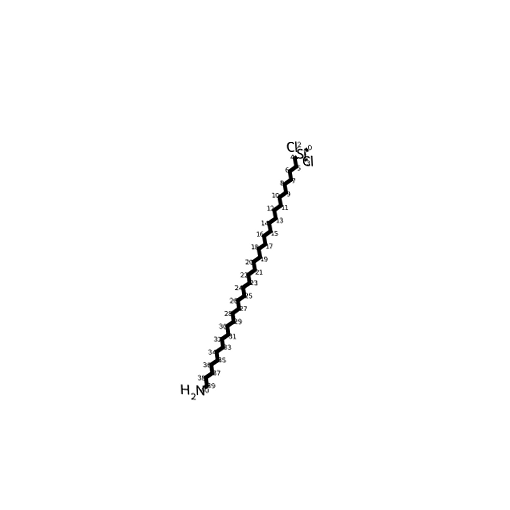 C[Si](Cl)(Cl)CCCCCCCCCCCCCCCCCCCCCCCCCCCCCCCCCCCCN